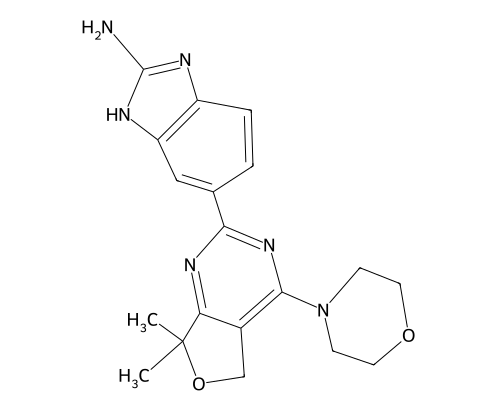 CC1(C)OCc2c(N3CCOCC3)nc(-c3ccc4nc(N)[nH]c4c3)nc21